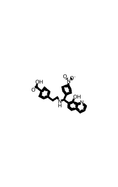 O=C(O)c1ccc(CCNC(c2ccc([N+](=O)[O-])cc2)c2ccc3cccnc3c2O)cc1